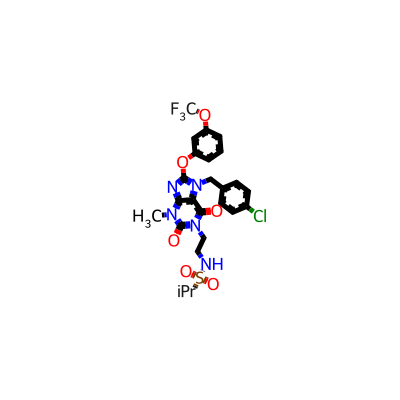 CC(C)S(=O)(=O)NCCn1c(=O)c2c(nc(Oc3cccc(OC(F)(F)F)c3)n2Cc2ccc(Cl)cc2)n(C)c1=O